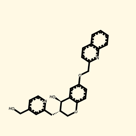 OCc1ccnc(C[C@H]2COc3ccc(OCc4ccc5ccccc5n4)cc3[C@@H]2O)c1